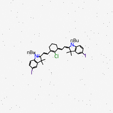 CCCCN1/C(=C/C=C2\CCCC(/C=C/C3=[N+](CCCC)c4ccc(I)cc4C3(C)C)=C2Cl)C(C)(C)c2cc(I)ccc21